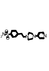 NS(=O)(=O)c1ccc(CCN2CCN(c3ccncc3)CC2)cc1